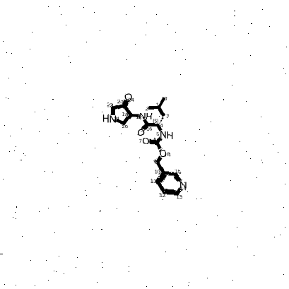 CC(C)C[C@H](NC(=O)OCc1cccnc1)C(=O)NC1CNCC1=O